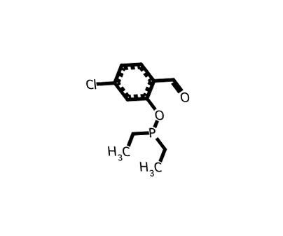 CCP(CC)Oc1cc(Cl)ccc1C=O